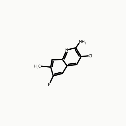 Cc1cc2nc(N)c(Cl)cc2cc1F